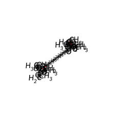 C=C(C)C(=O)OCC(COC(=O)CCCCCCCCCCCCCCCCCCCCC(=O)OCC(COC(=O)C(=C)C)(COC(=O)C(=C)C)COC(=O)C(=C)C)(COC(=O)C(=C)C)COC(=O)C(=C)C